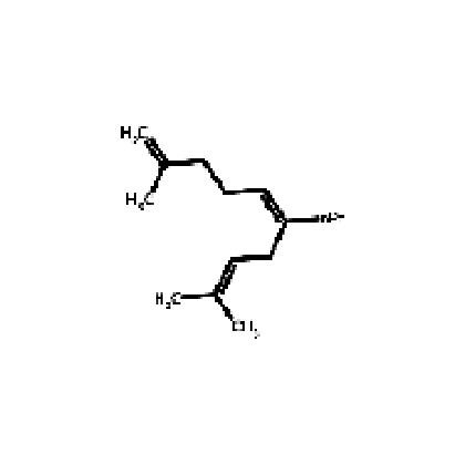 C=C(C)CCC=C(CC=C(C)C)CCC